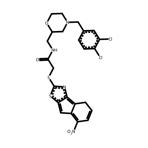 O=C(CSc1nc2c(s1)=CC1=C([N+](=O)[O-])C=CCC=21)NCC1CN(Cc2ccc(Cl)c(Cl)c2)CCO1